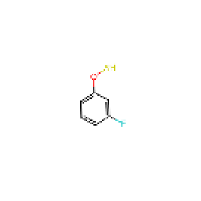 Fc1cccc(OS)c1